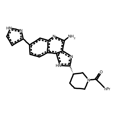 CCCC(=O)N1CCC[C@H](c2nc3c(N)nc4cc(-c5cc[nH]n5)ccc4c3[nH]2)C1